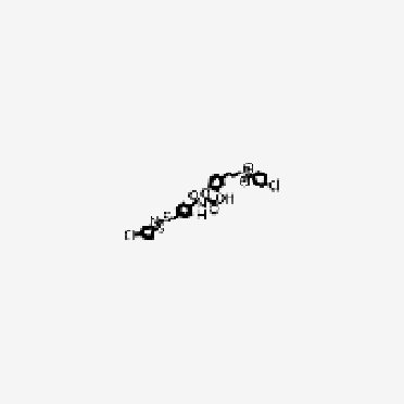 O=C(NC(Oc1ccc(CCCS(=O)(=O)c2ccc(Cl)cc2)cc1)C(=O)O)c1ccc(CSc2nc3cc(Cl)ccc3s2)cc1